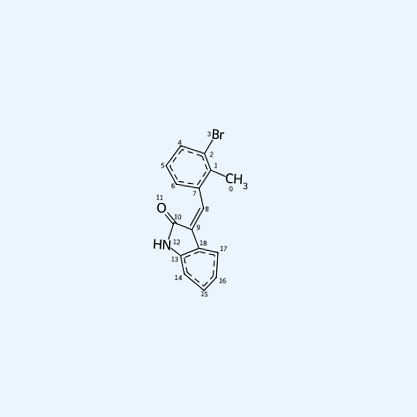 Cc1c(Br)cccc1/C=C1\C(=O)Nc2ccccc21